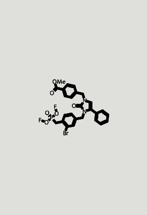 COC(=O)c1ccc(Cn2cc(-c3ccccc3)n(Cc3ccc(CP(=O)(OF)OF)c(Br)c3)c2=O)cc1